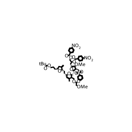 C=C1C[C@H](CCCOC(=O)C(C)(C)C)O[C@H]1CC[C@H]1C=C(C)C(COC(=O)COC)[C@@H](C[C@@H]2O[C@H](CC(COC(=O)c3ccc([N+](=O)[O-])cc3)OC(=O)c3ccc([N+](=O)[O-])cc3)[C@H](OC)[C@H]2CS(=O)(=O)c2ccccc2)O1